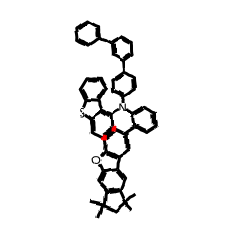 CC1(C)CC(C)(C)c2cc3c(cc21)oc1ccc(-c2ccccc2N(c2ccc(-c4cccc(-c5ccccc5)c4)cc2)c2cccc4sc5ccccc5c24)cc13